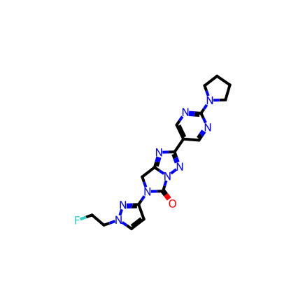 O=C1N(c2ccn(CCF)n2)Cc2nc(-c3cnc(N4CCCC4)nc3)nn21